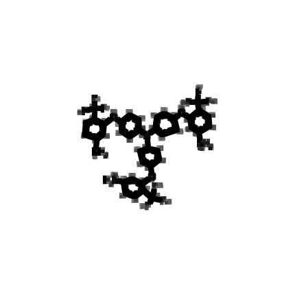 Nc1ccc(C(F)(F)F)c(Oc2ccc(N(c3ccc(Oc4cc(N)ccc4C(F)(F)F)cc3)c3ccc(Oc4cc(N)ccc4C(F)(F)F)cc3)cc2)c1